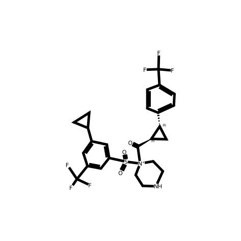 O=C([C@@H]1C[C@H]1c1ccc(C(F)(F)F)cc1)[N+]1(S(=O)(=O)c2cc(C3CC3)cc(C(F)(F)F)c2)CCNCC1